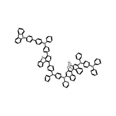 Cc1cc(N(c2ccccc2)c2ccc(N(c3ccccc3)c3ccccc3)cc2)c2ccccc2c1-c1c(C)cc(N(c2ccc(C(c3ccccc3)c3ccc(-c4ccc(-c5ccc(N(c6ccccc6)c6ccc(-c7ccc(-n8c9ccccc9c9ccccc98)cc7)cc6)cc5)c5sc6ccccc6c45)cc3)cc2)C2C=CC=CC2)c2ccccc12